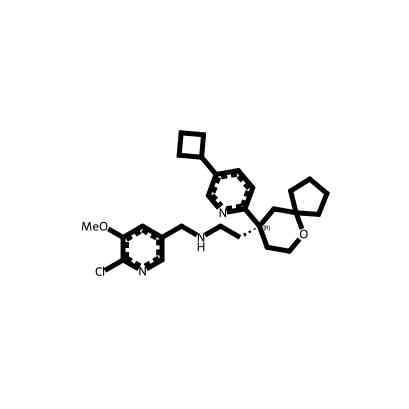 COc1cc(CNCC[C@@]2(c3ccc(C4CCC4)cn3)CCOC3(CCCC3)C2)cnc1Cl